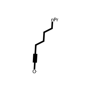 CCCCCCCC#C[O]